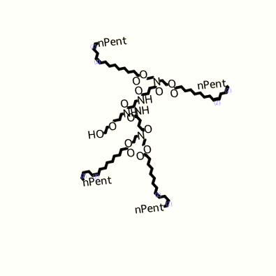 CCCCC/C=C\C/C=C\CCCCCCCC(=O)OCCN(CCOC(=O)CCCCCCC/C=C\C/C=C\CCCCC)C(=O)CCC(=O)NCC(NC(=O)CCC(=O)N(CCOC(=O)CCCCCCC/C=C\C/C=C\CCCCC)CCOC(=O)CCCCCCC/C=C\C/C=C\CCCCC)C(=O)NCCCOCCO